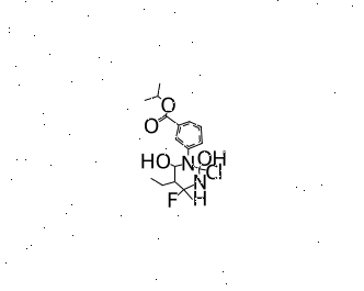 CCC1C(O)N(c2cccc(C(=O)OC(C)C)c2)C(O)(Cl)NC1(C)F